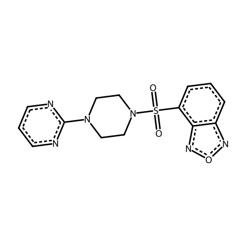 O=S(=O)(c1cccc2nonc12)N1CCN(c2ncccn2)CC1